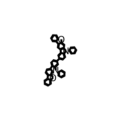 c1ccc(-n2c3ccc(-c4ccc5c6ccc7c8ccccc8oc7c6n(-c6ccccc6)c5c4)cc3c3cc4c(cc32)oc2ccccc24)cc1